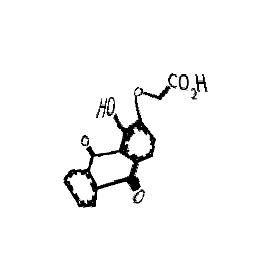 O=C(O)COc1ccc2c(c1O)C(=O)c1ccccc1C2=O